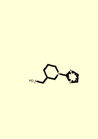 O=S(=O)(O)CC1CCCN(c2nccs2)C1